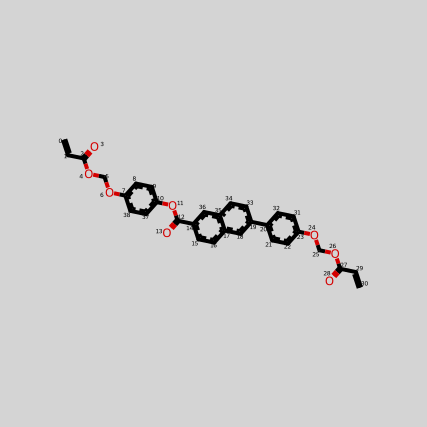 C=CC(=O)OCOc1ccc(OC(=O)c2ccc3cc(-c4ccc(OCOC(=O)C=C)cc4)ccc3c2)cc1